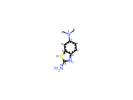 CN(C)c1ccc2nc(N)sc2c1